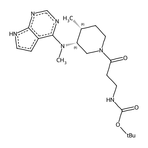 C[C@@H]1CCN(C(=O)CCNC(=O)OC(C)(C)C)C[C@@H]1N(C)c1ncnc2[nH]ccc12